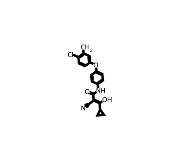 Cc1cc(Oc2ccc(NC(=O)C(C#N)=C(O)C3CC3)cc2)ccc1Cl